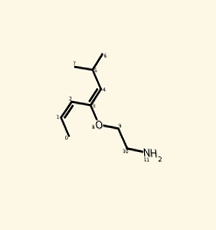 C/C=C\C(=C/C(C)C)OCCN